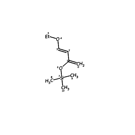 C=C(C=COCC)O[Si](C)(C)C